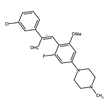 COc1cc(N2CCN(C)CC2)cc(F)c1/C=C(\C=O)c1cccc(Cl)c1